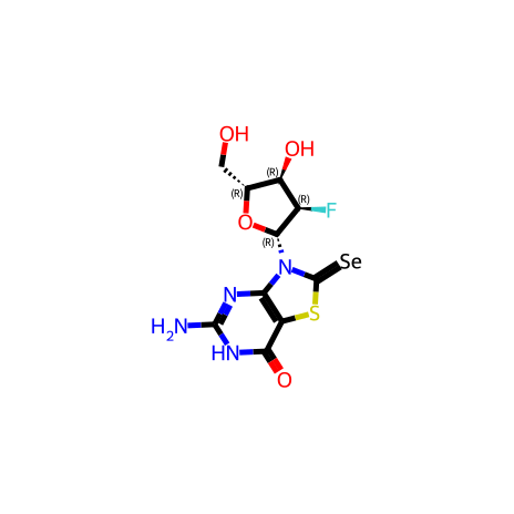 Nc1nc2c(sc(=[Se])n2[C@@H]2O[C@H](CO)[C@@H](O)[C@H]2F)c(=O)[nH]1